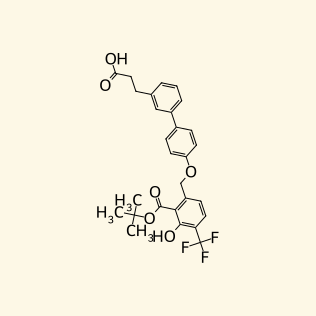 CC(C)(C)OC(=O)c1c(COc2ccc(-c3cccc(CCC(=O)O)c3)cc2)ccc(C(F)(F)F)c1O